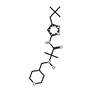 CC(C)(C)Cc1cc(NC(=O)C(C)(C)[S+]([O-])CC2CCOCC2)on1